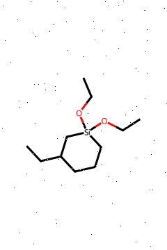 CCO[Si]1(OCC)CCCC(CC)C1